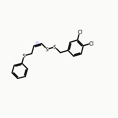 Clc1ccc(CSS/C=C\CSc2ccccc2)cc1Cl